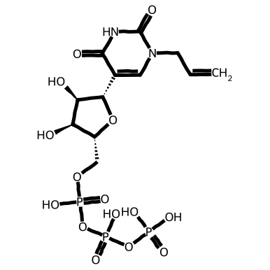 C=CCn1cc([C@@H]2O[C@H](COP(=O)(O)OP(=O)(O)OP(=O)(O)O)[C@@H](O)[C@H]2O)c(=O)[nH]c1=O